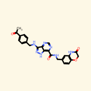 CC(=O)c1ccc(CNc2n[nH]c3c(C(=O)NCc4ccc5c(c4)NC(=O)CO5)ncnc23)cc1